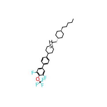 CCCCC[C@H]1CC[C@H](CC[SiH]2CCC(c3ccc(-c4cc(F)c(OC(F)(F)F)c(F)c4)cc3)CC2)CC1